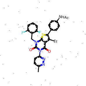 CCc1c(-c2ccc(NC(C)=O)cc2)sc2c1c(=O)n(-c1ccc(C)nn1)c(=O)n2Cc1c(F)cccc1F